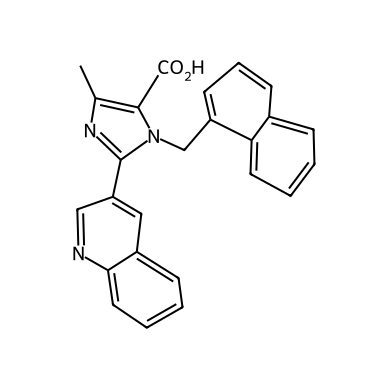 Cc1nc(-c2cnc3ccccc3c2)n(Cc2cccc3ccccc23)c1C(=O)O